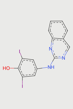 Oc1c(I)cc(Nc2ncc3ccccc3n2)cc1I